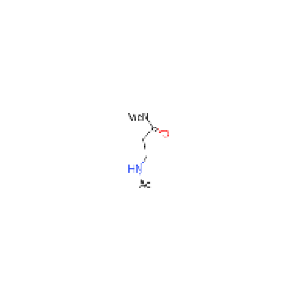 CNC(=O)CCNC(C)=O